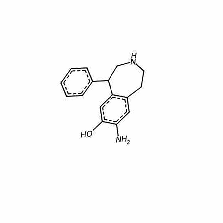 Nc1cc2c(cc1O)C(c1ccccc1)CNCC2